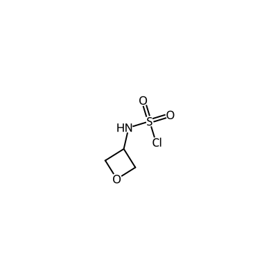 O=S(=O)(Cl)NC1COC1